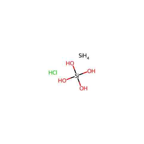 Cl.O[Si](O)(O)O.[SiH4]